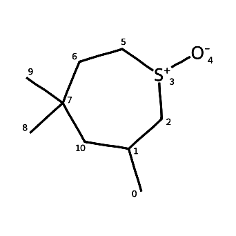 CC1C[S+]([O-])CCC(C)(C)C1